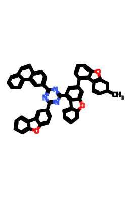 CC1C=Cc2c(oc3cccc(-c4cc(-c5nc(-c6ccc7ccc8ccccc8c7c6)nc(-c6ccc7oc8ccccc8c7c6)n5)c5c(c4)oc4ccccc45)c23)C1